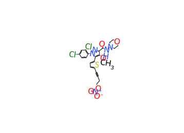 COc1c(C(=O)NN2CCOCC2)nn(-c2ccc(Cl)cc2Cl)c1-c1ccc(C#CCCO[N+](=O)[O-])s1